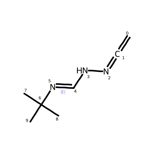 C=C=NN/C=N/C(C)(C)C